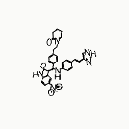 O=C1Nc2ccc([N+](=O)[O-])cc2C1=C(Nc1ccc(C=Cc2c[nH]cn2)cc1)c1ccc(CCN2CCCCC2=O)cc1